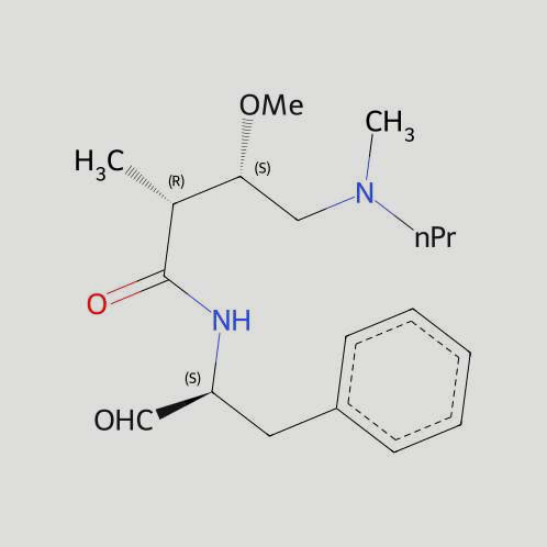 CCCN(C)C[C@@H](OC)[C@@H](C)C(=O)N[C@H](C=O)Cc1ccccc1